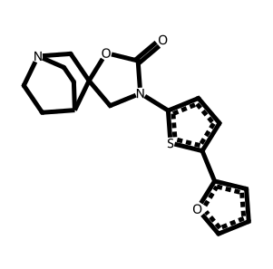 O=C1OC2(CN3CCC2CC3)CN1c1ccc(-c2ccco2)s1